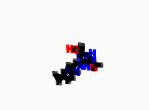 CC(=O)Nc1cc(NCc2cn3cc(C4CC4)ccc3n2)nc(C(C)O)n1